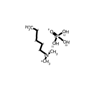 CCCCCN(C)C.O=P(O)(O)O